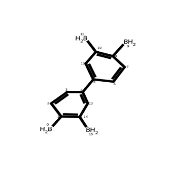 Bc1ccc(-c2ccc(B)c(B)c2)cc1B